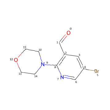 O=Cc1cc(Br)cnc1N1CCOCC1